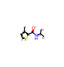 Cc1ccsc1C(=O)NC(C)C